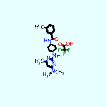 Cc1cccc(C(=O)N[C@H]2CC[C@@H](Nc3nc(C)cc(N(C)C)n3)CC2)c1.O=C(O)C(F)(F)F